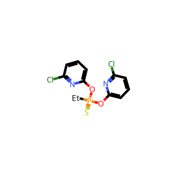 CCP(=S)(Oc1cccc(Cl)n1)Oc1cccc(Cl)n1